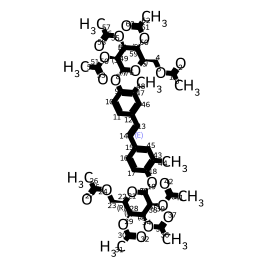 CC(=O)OC[C@H]1O[C@H](Oc2ccc(/C=C/c3ccc(O[C@H]4O[C@H](COC(C)=O)[C@@H](OC(C)=O)[C@H](OC(C)=O)[C@@H]4OC(C)=O)c(C)c3)cc2C)[C@@H](OC(C)=O)[C@@H](OC(C)=O)[C@@H]1OC(C)=O